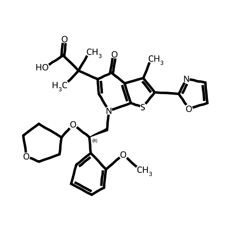 COc1ccccc1[C@H](Cn1cc(C(C)(C)C(=O)O)c(=O)c2c(C)c(-c3ncco3)sc21)OC1CCOCC1